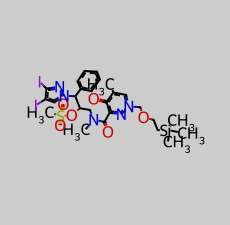 Cc1cn(COCC[Si](C)(C)C)nc(C(=O)N(C)CC(OS(C)(=O)=O)C(c2ccccc2)n2cc(I)c(I)n2)c1=O